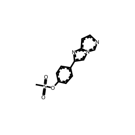 CS(=O)(=O)Oc1ccc(-c2cn3cnccc3n2)cc1